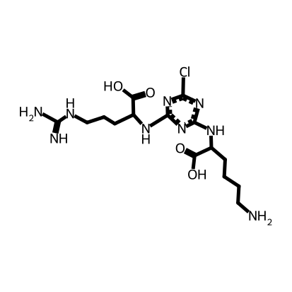 N=C(N)NCCCC(Nc1nc(Cl)nc(NC(CCCCN)C(=O)O)n1)C(=O)O